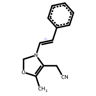 CC1=C(CC#N)N(/C=C/c2ccccc2)CO1